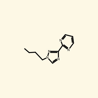 CCCCn1cnc(-c2ncccn2)n1